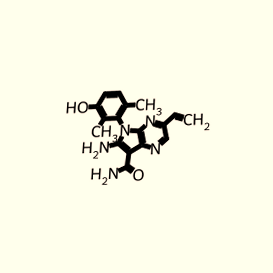 C=Cc1cnc2c(C(N)=O)c(N)n(-c3c(C)ccc(O)c3C)c2n1